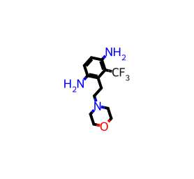 Nc1ccc(N)c(C(F)(F)F)c1CCN1CCOCC1